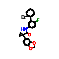 CCc1ccccc1-c1cc(NC(=O)C2(c3ccc4c(c3)OCO4)CC2)ccc1F